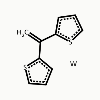 C=C(c1cccs1)c1cccs1.[W]